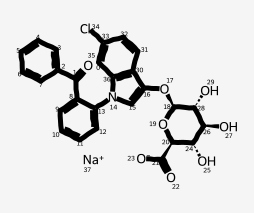 O=C(c1ccccc1)c1ccccc1-n1cc(O[C@@H]2O[C@H](C(=O)[O-])[C@@H](O)[C@H](O)[C@H]2O)c2ccc(Cl)cc21.[Na+]